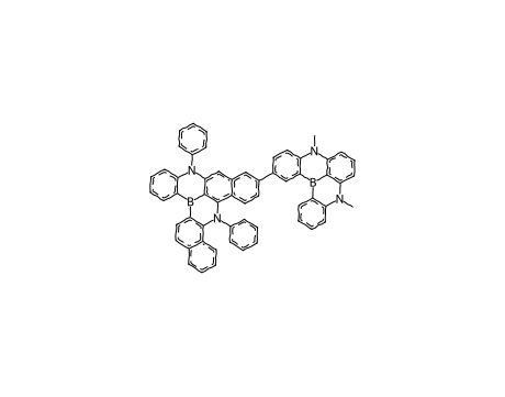 CN1c2ccccc2B2c3cc(-c4ccc5c6c7c(cc5c4)N(c4ccccc4)c4ccccc4B7c4ccc5ccccc5c4N6c4ccccc4)ccc3N(C)c3cccc1c32